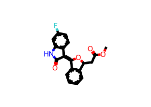 COC(=O)CC1O/C(=C2/C(=O)Nc3cc(F)ccc32)c2ccccc21